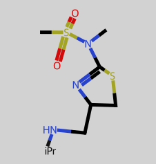 CC(C)NCC1CSC(N(C)S(C)(=O)=O)=N1